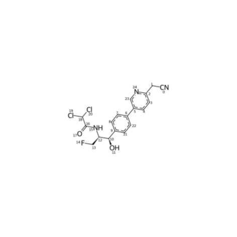 N#CCc1ccc(-c2ccc([C@@H](O)[C@@H](CF)NC(=O)C(Cl)Cl)cc2)cn1